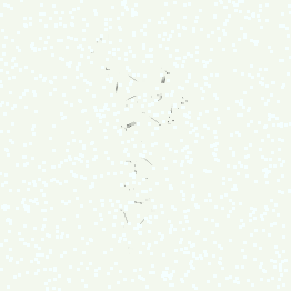 COc1ccc(Nc2nc(CSc3nc(N)c(C#N)c(-c4ccc(OCCO)cc4)c3C#N)cs2)cc1F